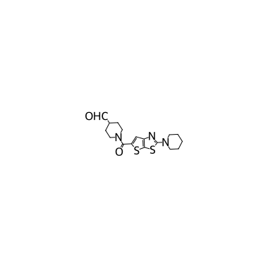 O=CC1CCN(C(=O)c2cc3nc(N4CCCCC4)sc3s2)CC1